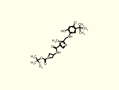 Cn1c(C(=O)NC2CN(C(=O)OC(C)(C)C)C2)cnc1CNc1cc(C(C)(C)C)c(Cl)cc1O